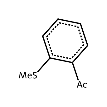 CSc1ccccc1C(C)=O